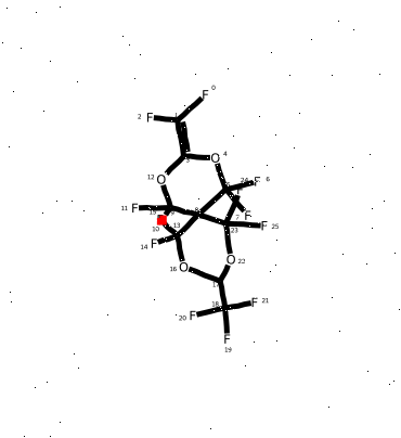 FC(F)=C1OC(F)(F)C2(C(F)(F)O1)C(F)(F)OC(C(F)(F)F)OC2(F)F